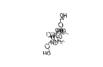 CC[C@H](C)[C@@H](C(=O)N[C@@H](Cc1ccccc1)[C@@H](O)CN(CC(C)C)S(=O)(=O)c1ccc(C=NO)cc1)N1CCN(Cc2cccc(CO)c2)C1=O